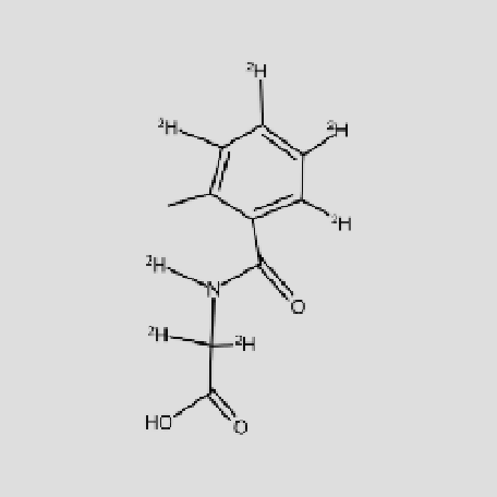 [2H]c1c([2H])c([2H])c(C(=O)N([2H])C([2H])([2H])C(=O)O)c(C)c1[2H]